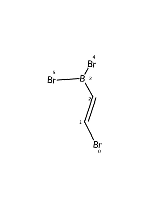 BrC=CB(Br)Br